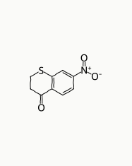 O=C1CCSc2cc([N+](=O)[O-])ccc21